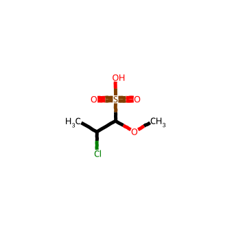 COC(C(C)Cl)S(=O)(=O)O